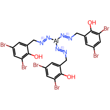 Oc1c(Br)cc(Br)cc1C/N=[N]/[Al](/[N]=N/Cc1cc(Br)cc(Br)c1O)/[N]=N/Cc1cc(Br)cc(Br)c1O